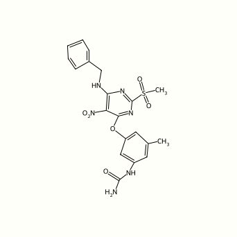 Cc1cc(NC(N)=O)cc(Oc2nc(S(C)(=O)=O)nc(NCc3ccccc3)c2[N+](=O)[O-])c1